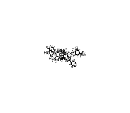 BC1N(C(=O)c2ncnc(C)c2O)C(B)(B)C(B)(B)N(c2c(CC)n(CC(=O)Nc3ccc(C(F)(F)F)cc3Cl)c3nc(C4=CCOCC4)nn3c2=O)C1(B)B